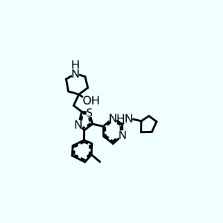 Cc1cccc(-c2nc(CC3(O)CCNCC3)sc2-c2ccnc(NC3CCCC3)n2)c1